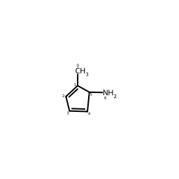 CC1=CC=CC1N